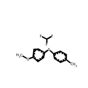 COc1ccc(Sc2ccc(C)cc2)cc1.FC(F)F